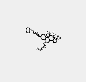 CON=C1CC2C(C(=O)C(F)[C@]3(C)C(=O)CCC23)[C@@]2(C)CCC(=NOCCN3CCCCC3)CC12